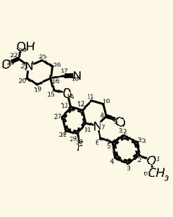 COc1ccc(CN2C(=O)CCc3c(OCC4(C#N)CCN(C(=O)O)CC4)ccc(F)c32)cc1